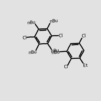 CCCCc1c(Cl)c(CCCC)c(CCCC)c(Cl)c1CCCC.CCCCc1cc(Cl)cc(CC)c1Cl